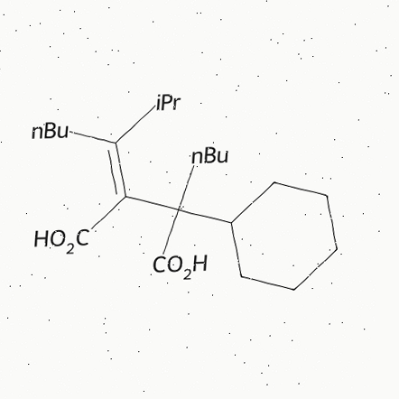 CCCCC(=C(C(=O)O)C(CCCC)(C(=O)O)C1CCCCC1)C(C)C